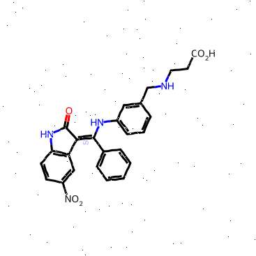 O=C(O)CCNCc1cccc(N/C(=C2\C(=O)Nc3ccc([N+](=O)[O-])cc32)c2ccccc2)c1